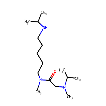 CC(C)NCCCCCN(C)C(=O)CN(C)C(C)C